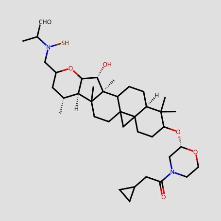 CC(C=O)N(S)CC1C[C@@H](C)[C@H]2C(O1)[C@H](O)[C@@]1(C)C3CC[C@H]4C(C)(C)C(O[C@H]5CN(C(=O)CC6CC6)CCO5)CCC45CC35CCC21C